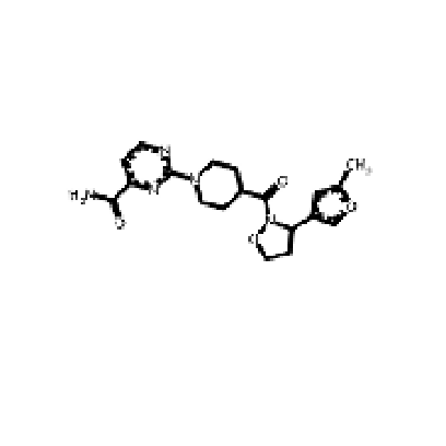 Cc1cc(C2CCON2C(=O)C2CCN(c3nccc(C(N)=O)n3)CC2)co1